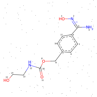 N/C(=N/O)c1ccc(COC(=O)NCCO)cc1